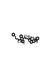 C/C(=C\C=C/Cc1ccccc1)c1c2ccccc2c(/C(C)=C/C=C2\Cc3ccc4cc5sc6ccccc6c5cc4c3C2(C)C)c2ccccc12